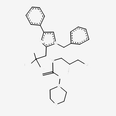 CC(C)(C)[C@H](c1nc(-c2ccccc2)cn1Cc1ccccc1)N(C[C@@H](F)CN)C(=O)ON1CCNCC1